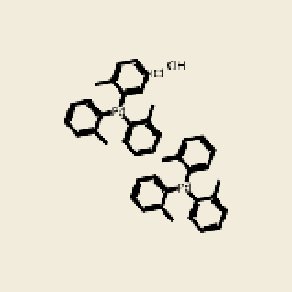 Cc1cccc[c]1[Pd]([c]1ccccc1C)[c]1ccccc1C.Cc1cccc[c]1[Pd]([c]1ccccc1C)[c]1ccccc1C.Cl.Cl